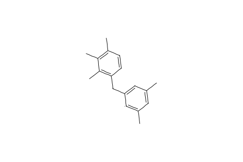 Cc1[c]c(Cc2ccc(C)c(C)c2C)cc(C)c1